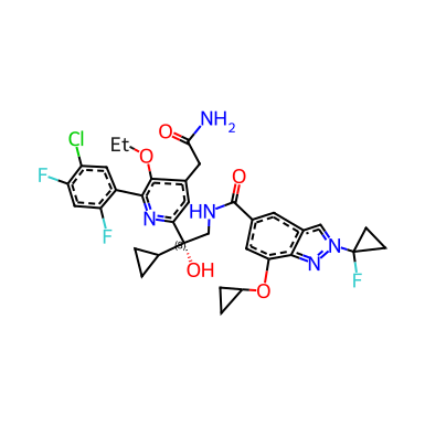 CCOc1c(CC(N)=O)cc([C@@](O)(CNC(=O)c2cc(OC3CC3)c3nn(C4(F)CC4)cc3c2)C2CC2)nc1-c1cc(Cl)c(F)cc1F